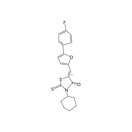 O=C1/C(=C/c2ccc(-c3ccc(F)cc3)o2)SC(=S)N1C1CCCCC1